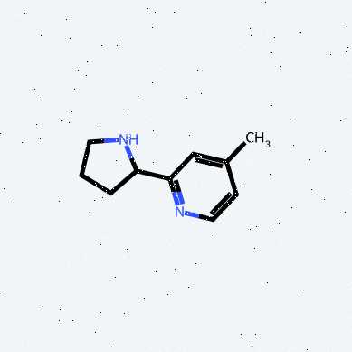 Cc1ccnc(C2CCCN2)c1